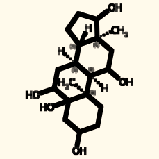 C[C@]12CC(O)[C@@H]3[C@@H](CC(O)C4(O)CC(O)CC[C@]34C)[C@@H]1CCC2O